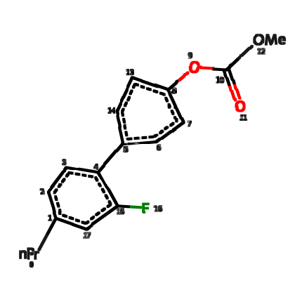 CCCc1ccc(-c2ccc(OC(=O)OC)cc2)c(F)c1